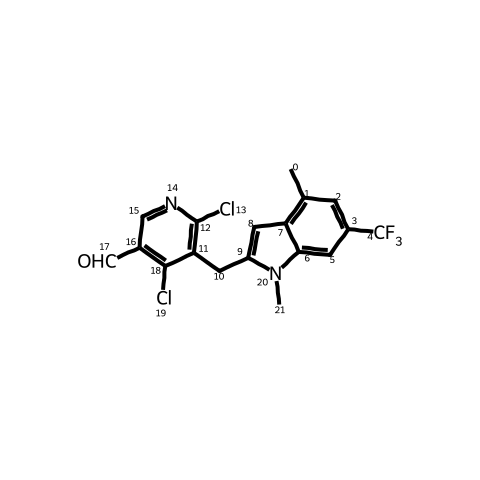 Cc1cc(C(F)(F)F)cc2c1cc(Cc1c(Cl)ncc(C=O)c1Cl)n2C